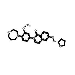 COc1cc(-n2ccc3cc(OC[C@@H]4CCCO4)ccc3c2=O)ccc1N1CCCNCC1